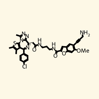 COc1cc2oc(C(=O)NCCCNC(=O)C[C@@H]3N=C(c4ccc(Cl)cc4)c4c(sc(C)c4C)-n4c(C)nnc43)cc2cc1C#CCN